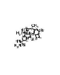 C[C@H](c1cc(Br)c2c(c1NC(=O)N1C=C(S(=N)(N)=O)SC1C(C)(C)O)CC2)C1CC1